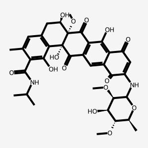 CO[C@@H]1[C@@H](O)[C@@H](OC)C(NC2=CC(=O)c3c(cc4c(c3O)C(=O)[C@]3(OC)[C@H](O)Cc5cc(C)c(C(=O)NC(C)C)c(O)c5[C@]3(O)C4=O)C2=O)O[C@H]1C